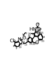 CCOc1nc2c(Cl)cccc2n1Cc1ccc2c(c1)COc1ccccc1C2=C(C)c1noc(=O)[nH]1